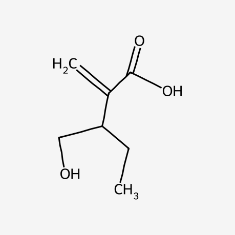 C=C(C(=O)O)C(CC)CO